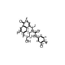 C[C@H](c1cn(C)c(=O)c2cc(F)c(F)cc12)N(CCCO)C(=O)Nc1ccc(F)c(Cl)c1